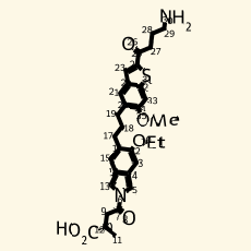 CCOc1cc2cn(C(=O)C[C@H](C)C(=O)O)cc2cc1CCCc1cc2cc(C(=O)CCCN)sc2cc1OC